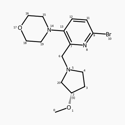 CO[C@H]1CCN(Cc2nc(Br)ccc2N2CCOCC2)C1